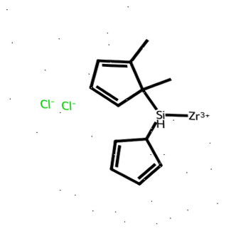 CC1=CC=CC1(C)[SiH]([Zr+3])C1C=CC=C1.[Cl-].[Cl-]